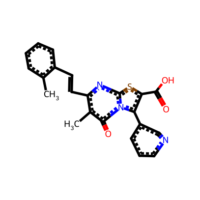 Cc1ccccc1/C=C/c1nc2sc(C(=O)O)c(-c3cccnc3)n2c(=O)c1C